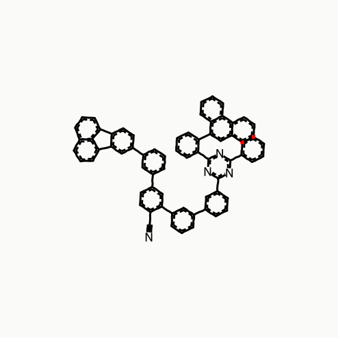 N#Cc1ccc(-c2cccc(-c3ccc4c(c3)-c3cccc5cccc-4c35)c2)cc1-c1cccc(-c2cccc(-c3nc(-c4ccccc4)nc(-c4ccccc4-c4cc5ccccc5c5ccccc45)n3)c2)c1